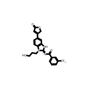 O=C1C=C(c2ccc3c(c2)[nH]/c(=N\C(=O)c2cccc(C(F)(F)F)c2)n3CCCO)CO1